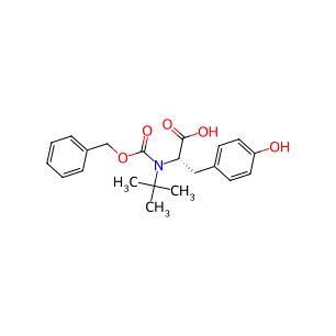 CC(C)(C)N(C(=O)OCc1ccccc1)[C@@H](Cc1ccc(O)cc1)C(=O)O